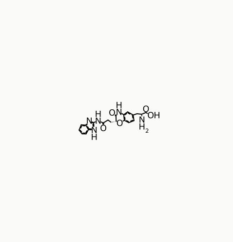 N[C@@H](Cc1ccc2c(c1)NC(=O)[C@@H](CCC(=O)Nc1nc3ccccc3[nH]1)O2)C(=O)O